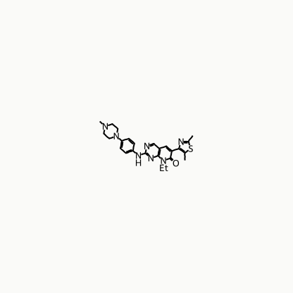 CCn1c(=O)c(-c2nc(C)sc2C)cc2cnc(Nc3ccc(N4CCN(C)CC4)cc3)nc21